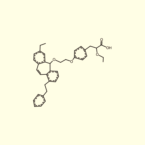 CCOC(Cc1ccc(OCCOC2c3cc(CC)ccc3C=Cc3c(CCc4ccccc4)cccc32)cc1)C(=O)O